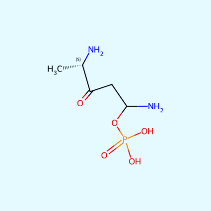 C[C@H](N)C(=O)CC(N)OP(=O)(O)O